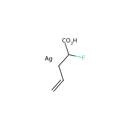 C=CCC(F)C(=O)O.[Ag]